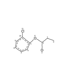 CCC([O])Oc1ccccc1Cl